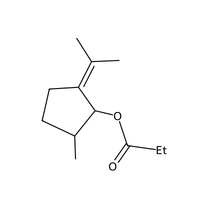 CCC(=O)OC1C(=C(C)C)CCC1C